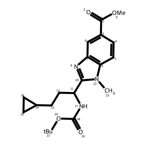 COC(=O)c1ccc2c(c1)nc(C(CCC1CC1)NC(=O)OC(C)(C)C)n2C